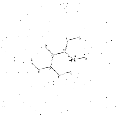 CCC(CC)C(C)C(CC)NC